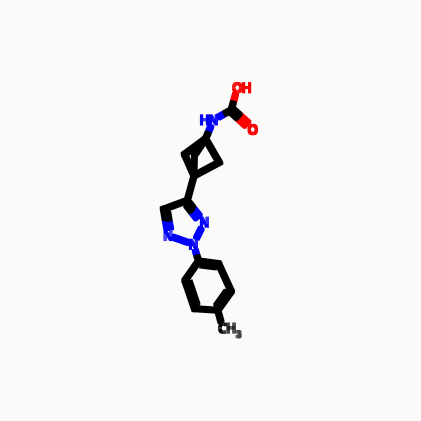 Cc1ccc(-n2ncc(C34CC(NC(=O)O)(C3)C4)n2)cc1